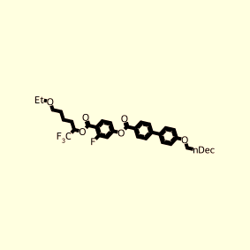 CCCCCCCCCCCOc1ccc(-c2ccc(C(=O)Oc3ccc(C(=O)OC(CCCCOCC)C(F)(F)F)c(F)c3)cc2)cc1